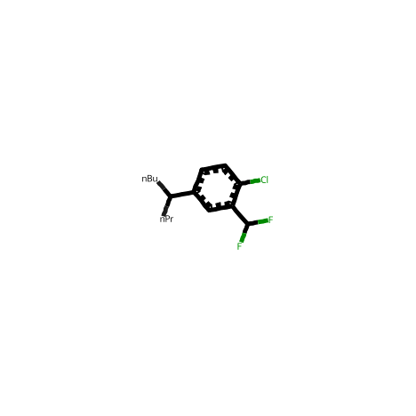 CCCCC(CCC)c1ccc(Cl)c(C(F)F)c1